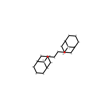 C(CCP1C2CCCC1CCC2)CB1C2CCCC1CCC2